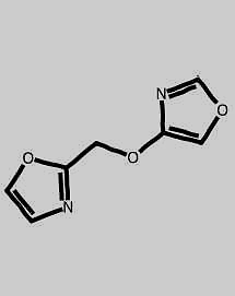 [c]1nc(OCc2ncco2)co1